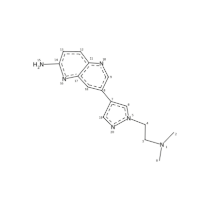 CN(C)CCn1cc(-c2cnc3ccc(N)nc3c2)cn1